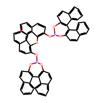 c1ccc2c(Sc3c(Op4oc5ccc6ccccc6c5c5c(ccc6ccccc65)o4)ccc4ccccc34)c(Op3oc4ccc5ccccc5c4c4c(ccc5ccccc54)o3)ccc2c1